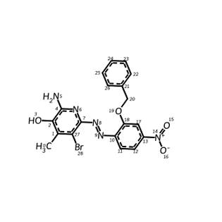 Cc1c(O)c(N)nc(N=Nc2ccc([N+](=O)[O-])cc2OCc2ccccc2)c1Br